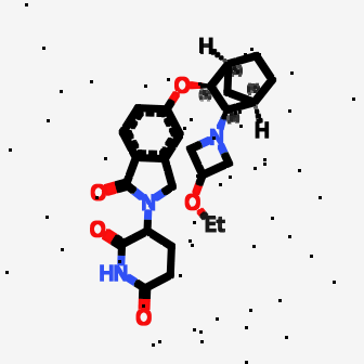 CCOC1CN([C@@H]2[C@@H]3CC[C@@H](C3)[C@@H]2Oc2ccc3c(c2)CN(C2CCC(=O)NC2=O)C3=O)C1